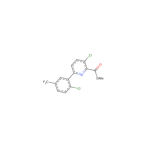 COC(=O)c1nc(-c2cc(C(F)(F)F)ccc2Cl)ccc1Cl